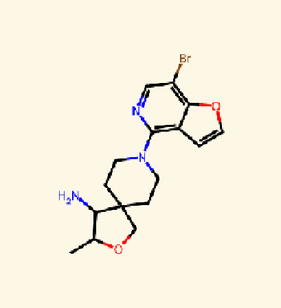 CC1OCC2(CCN(c3ncc(Br)c4occc34)CC2)C1N